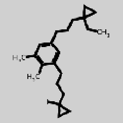 CCC1(CCCc2cc(C)c(C)c(CCCC3(I)CC3)c2)CC1